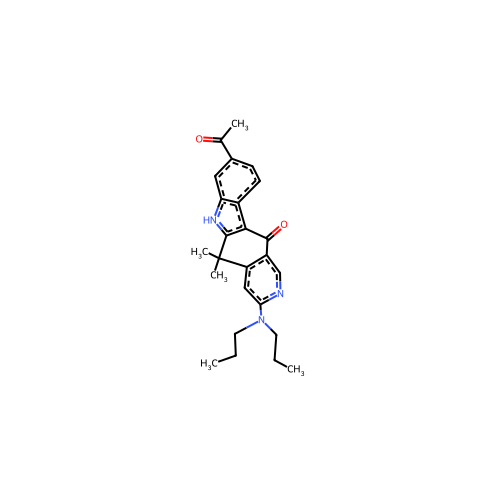 CCCN(CCC)c1cc2c(cn1)C(=O)c1c([nH]c3cc(C(C)=O)ccc13)C2(C)C